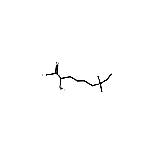 CCC(C)(C)CCCCC(N)C(=O)O